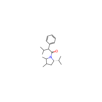 CC(C)C(C(=O)N1C(C)C(C)C[C@H]1C(C)C)c1ccccc1